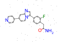 NC(=O)Cc1ccc(-c2cnc3cc(-c4ccncc4)ccn23)cc1F